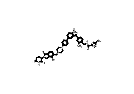 Cc1cc(-c2n[nH]c3ccc(-c4ccc(N5CCN(Cc6ccc7c(c6Br)CN(C6CCC(=O)NC6=O)C7=O)CC5)cc4)cc23)ccc1CNC(=O)c1nc(C(C)(C)C)no1